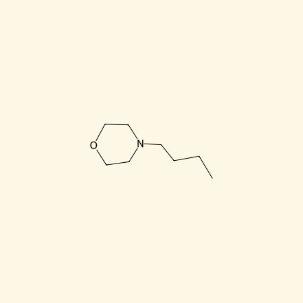 CCCCN1CCOCC1